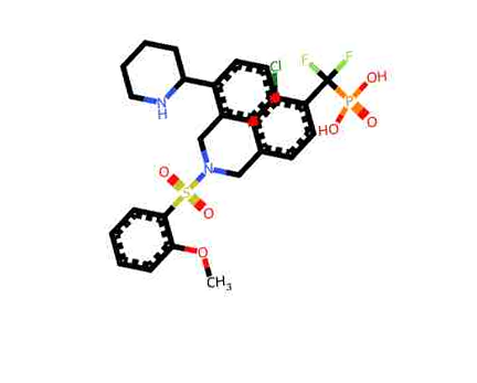 COc1ccccc1S(=O)(=O)N(Cc1ccc(C(F)(F)P(=O)(O)O)c(Cl)c1)Cc1ccccc1C1CCCCN1